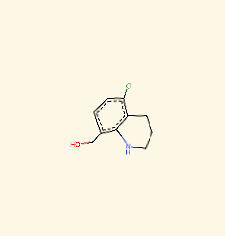 OCc1ccc(Cl)c2c1NCCC2